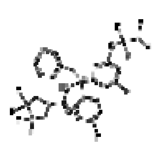 O=C(N[C@](Cc1ccccc1)(c1ccc(F)cc1)c1cc(F)cc(OC(F)(F)C(F)F)c1)N1CC(F)(F)C(F)(F)C1